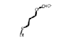 CCSCCCO[C]=O